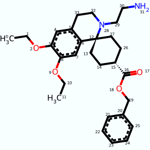 CCOc1cc2c(cc1OCC)[C@]1(CC[C@@H](C(=O)OCc3ccccc3)CC1)N(CCN)CC2